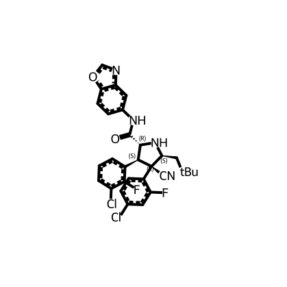 CC(C)(C)C[C@@H]1N[C@@H](C(=O)Nc2ccc3ocnc3c2)[C@H](c2cccc(Cl)c2F)[C@@]1(C#N)c1ccc(Cl)cc1F